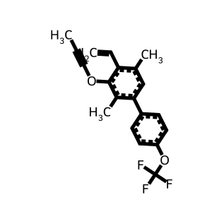 C=Cc1c(C)cc(-c2ccc(OC(F)(F)F)cc2)c(C)c1OC#CC